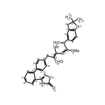 CCCC(/N=C(/OC)N(C)c1ccc2c(c1)CC(C)(C)O2)=C(/C=O)Cc1ccc(-c2ccccc2-c2noc(=O)[nH]2)cc1